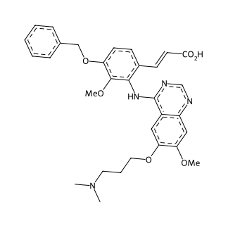 COc1cc2ncnc(Nc3c(/C=C/C(=O)O)ccc(OCc4ccccc4)c3OC)c2cc1OCCCN(C)C